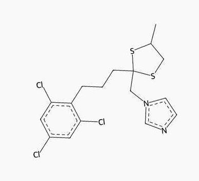 CC1CSC(CCCc2c(Cl)cc(Cl)cc2Cl)(Cn2ccnc2)S1